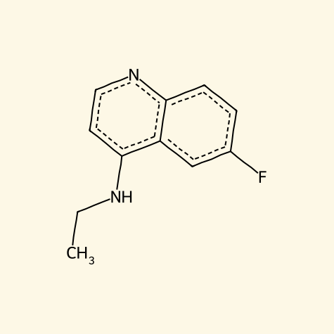 CCNc1ccnc2ccc(F)cc12